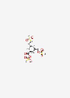 CS(=O)(=O)CCC1CC(COS(C)(=O)=O)CC(C(=O)OS(C)(=O)=O)C1